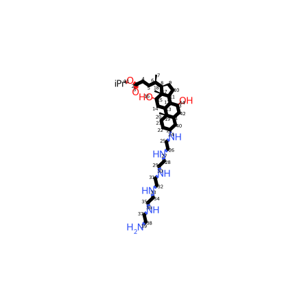 CC(C)OC(=O)CC[C@@H](C)[C@H]1CCC2C3C(C[C@H](O)[C@@]21C)[C@@]1(C)CC[C@H](NCCNCCNCCNCCNCCN)CC1C[C@H]3O